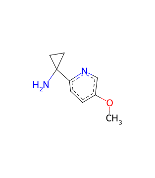 COc1ccc(C2(N)CC2)nc1